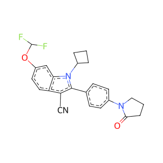 N#Cc1c(-c2ccc(N3CCCC3=O)cc2)n(C2CCC2)c2cc(OC(F)F)ccc12